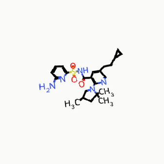 CC1CN(c2ncc(CCC3CC3)cc2C(=O)NS(=O)(=O)c2cccc(N)n2)C(C)(C)C1